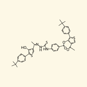 CC(=O)c1csc(-c2ccc(C(C)(C)C)cc2)c1OC(=O)c1ccc(NC(=S)NN=C(C)c2csc(-c3ccc(C(C)(C)C)cc3)c2O)cc1